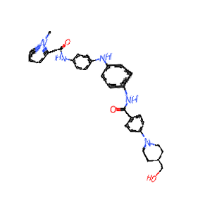 Cn1cccc1C(=O)Nc1ccc(Nc2ccc(NC(=O)c3ccc(N4CCC(CO)CC4)cc3)cc2)cc1